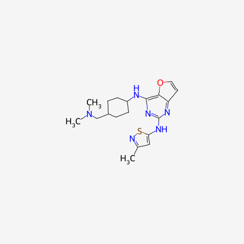 Cc1cc(Nc2nc(NC3CCC(CN(C)C)CC3)c3occc3n2)sn1